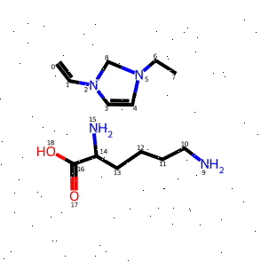 C=CN1C=CN(CC)C1.NCCCCC(N)C(=O)O